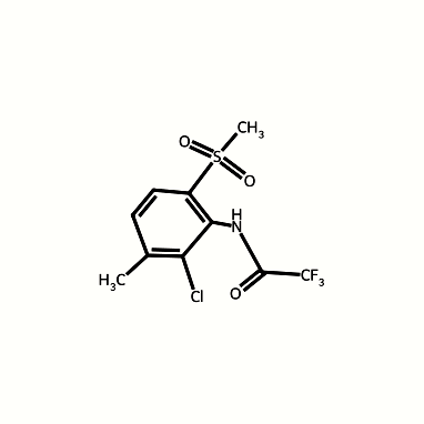 Cc1ccc(S(C)(=O)=O)c(NC(=O)C(F)(F)F)c1Cl